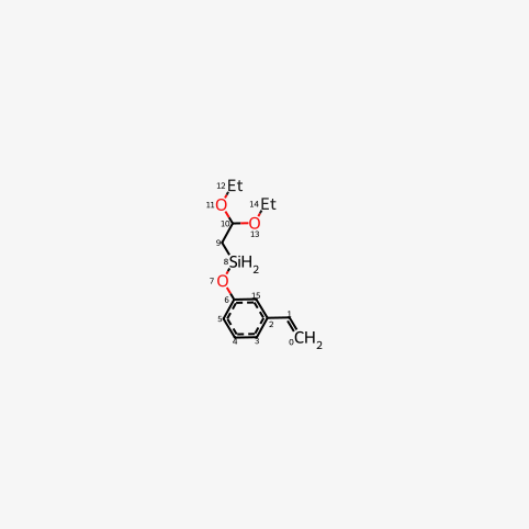 C=Cc1cccc(O[SiH2]CC(OCC)OCC)c1